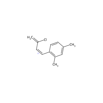 C=C(Cl)/C=C\c1ccc(C)cc1C